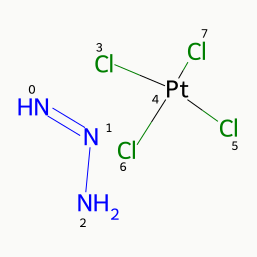 N=NN.[Cl][Pt]([Cl])([Cl])[Cl]